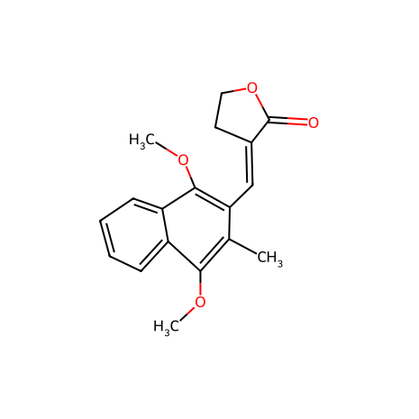 COc1c(C)c(/C=C2\CCOC2=O)c(OC)c2ccccc12